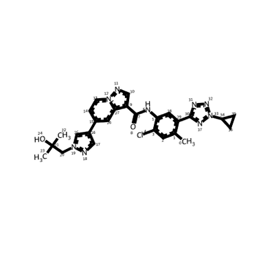 Cc1cc(Cl)c(NC(=O)c2cnn3ccc(-c4cnn(CC(C)(C)O)c4)cc23)cc1-c1nnn(C2CC2)n1